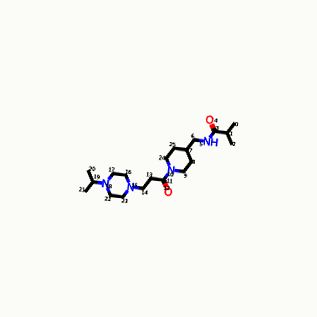 CC(C)C(=O)NCC1CCN(C(=O)CCN2CCN(C(C)C)CC2)CC1